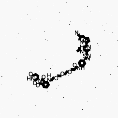 CC(C)Nc1cc(-c2ccc3cc(C#N)cnn23)ncc1-c1nnc([C@H]2CC[C@H](NC(=O)C=COCCOCCOCCNc3cccc4c3C(=O)N(C3CCC(=O)NC3=O)C4=O)CC2)s1